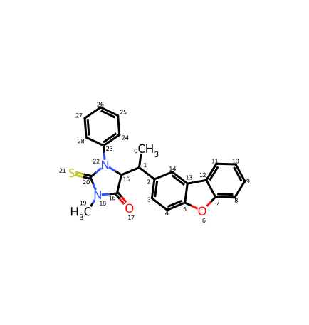 CC(c1ccc2oc3ccccc3c2c1)C1C(=O)N(C)C(=S)N1c1ccccc1